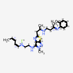 C/C=C\C=C/N(F)CCNc1c2nc(CC(C)NCC/C(C)=N/c3ccccc3C)sc2nn1C